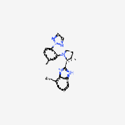 Cc1c[c]c(-n2nccn2)c(N2CC[C@H](C)[C@H]2c2nc3c(C(C)C)cccc3[nH]2)c1